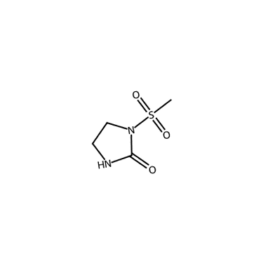 CS(=O)(=O)N1CCNC1=O